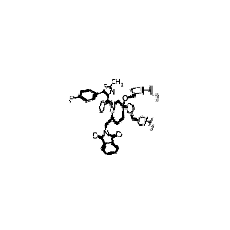 CCOC1(OCC)CCC(CN2C(=O)c3ccccc3C2=O)N(C(=O)c2nc(C)sc2-c2ccc(F)cc2)C1